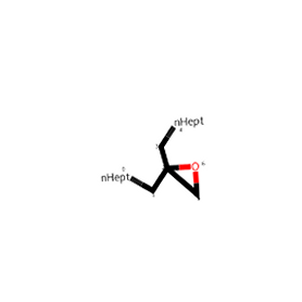 CCCCCCCCC1(CCCCCCCC)CO1